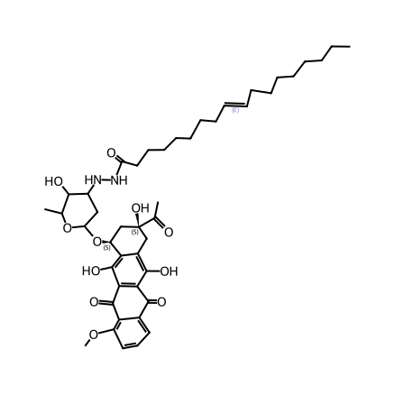 CCCCCCCC/C=C/CCCCCCCC(=O)NNC1CC(O[C@H]2C[C@](O)(C(C)=O)Cc3c(O)c4c(c(O)c32)C(=O)c2c(OC)cccc2C4=O)OC(C)C1O